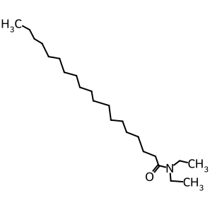 CCCCCCCCCCCCCCCCCCC(=O)N(CC)CC